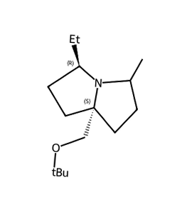 CC[C@@H]1CC[C@]2(COC(C)(C)C)CCC(C)N12